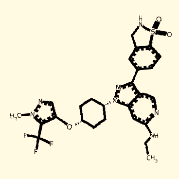 CCNc1cc2c(cn1)c(-c1ccc3c(c1)CNS3(=O)=O)nn2[C@H]1CC[C@@H](Oc2cnn(C)c2C(F)(F)F)CC1